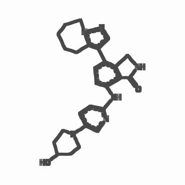 O=C1NCc2c(-c3cnn4c3CCCCC4)ccc(Nc3ccc(N4CCC(O)CC4)cn3)c21